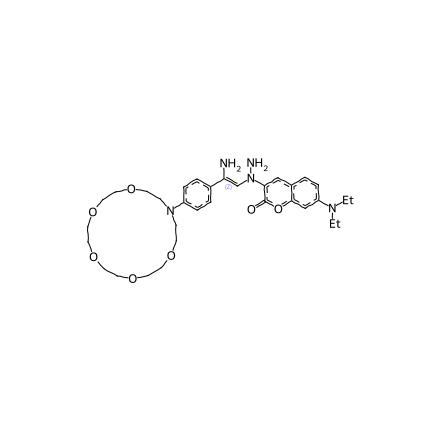 CCN(CC)c1ccc2cc(N(N)/C=C(\N)c3ccc(N4CCOCCOCCOCCOCCOCC4)cc3)c(=O)oc2c1